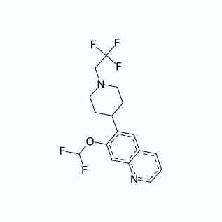 FC(F)Oc1cc2ncccc2cc1C1CCN(CC(F)(F)F)CC1